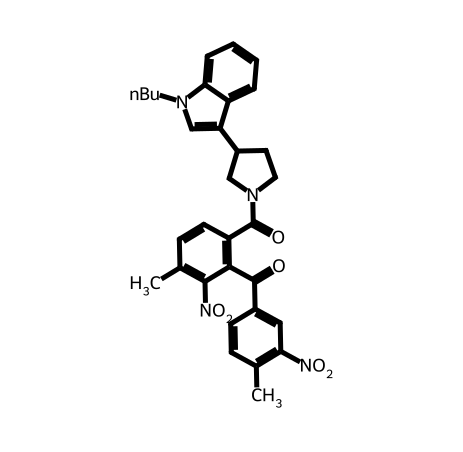 CCCCn1cc(C2CCN(C(=O)c3ccc(C)c([N+](=O)[O-])c3C(=O)c3ccc(C)c([N+](=O)[O-])c3)C2)c2ccccc21